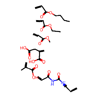 C=C(C)C(=O)O.C=C(CC(=O)O)C(=O)O.C=CC#[N+]C(=O)NC(=O)C=C.C=CC(=O)OC.C=CC(=O)OCC.C=CC(=O)OCCCC